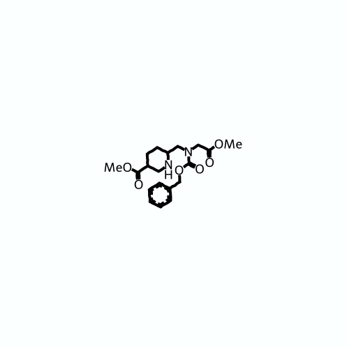 COC(=O)CN(CC1CCC(C(=O)OC)CN1)C(=O)OCc1ccccc1